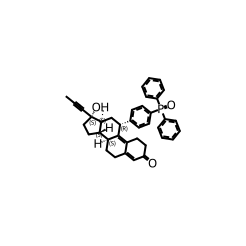 CC#C[C@]1(O)CC[C@H]2[C@@H]3CCC4=CC(=O)CCC4=C3[C@@H](c3ccc(P(=O)(c4ccccc4)c4ccccc4)cc3)C[C@@]21C